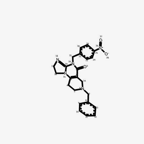 O=C1C2=C(CCN(Cc3ccccc3)C2)N2CCN=C2N1Cc1ccc([N+](=O)[O-])cc1